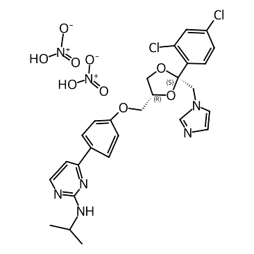 CC(C)Nc1nccc(-c2ccc(OC[C@@H]3CO[C@@](Cn4ccnc4)(c4ccc(Cl)cc4Cl)O3)cc2)n1.O=[N+]([O-])O.O=[N+]([O-])O